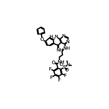 CN(C)S(=O)(=O)c1c(F)c(F)c(F)c(F)c1C(=O)NCCCNc1ncnc(N)c1C(=N)c1ccc(Oc2ccccc2)cc1